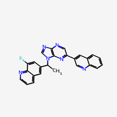 CC(c1cc(F)c2ncccc2c1)n1cnc2ncc(-c3cnc4ccccc4c3)nc21